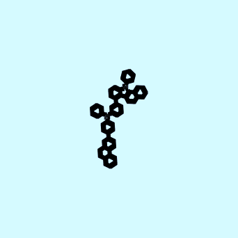 c1ccc(N(c2ccc(-c3ccc4c(ccc5ccccc54)c3)cc2)c2cccc(-c3cccc4c3c3ccc5ccccc5c3n4-c3ccccc3)c2)cc1